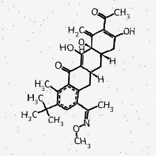 C=C1C(C(C)=O)=C(O)C[C@@H]2C[C@@H]3Cc4c(/C(C)=N\OC)cc(C(C)(C)C)c(C)c4C(=O)C3=C(O)[C@]12O